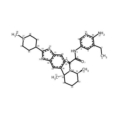 CCc1cc(NC(=O)C(=O)N2[C@@H](C)CCC[C@@]2(C)c2ccc3sc(C4CCN(C)CC4)nc3c2)cnc1N